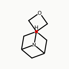 C1NCC2CC1N2C1COC1